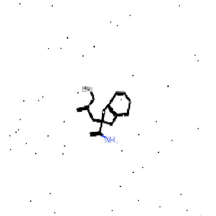 C=C(CC(C)(C)C)CC1(C(=C)N)CC2=C(CCC=C2)C1